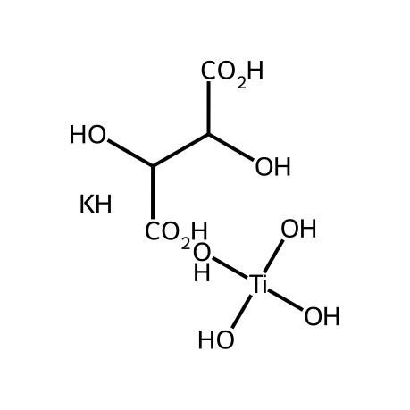 O=C(O)C(O)C(O)C(=O)O.[KH].[OH][Ti]([OH])([OH])[OH]